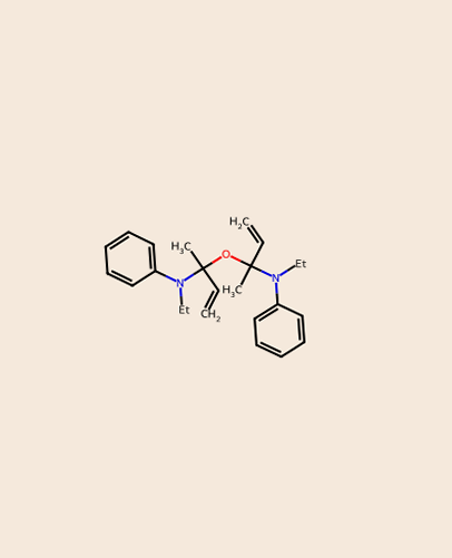 C=CC(C)(OC(C)(C=C)N(CC)c1ccccc1)N(CC)c1ccccc1